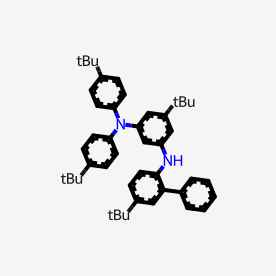 CC(C)(C)c1ccc(N(c2ccc(C(C)(C)C)cc2)c2cc(Nc3ccc(C(C)(C)C)cc3-c3ccccc3)cc(C(C)(C)C)c2)cc1